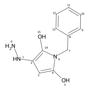 NNc1cc(O)n(Cc2ccccc2)c1O